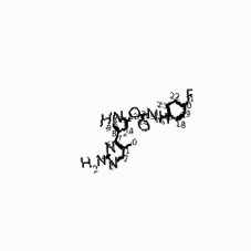 Cc1cnc(N)nc1-c1c[nH]c(OC(=O)NCc2ccc(F)cc2)c1